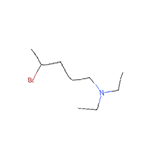 CCN(CC)CCCC(C)Br